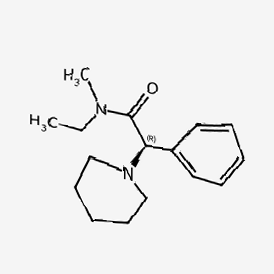 CCN(C)C(=O)[C@@H](c1ccccc1)N1CCCCC1